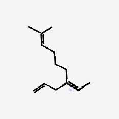 C=CC/C(=C/C)CCCC=C(C)C